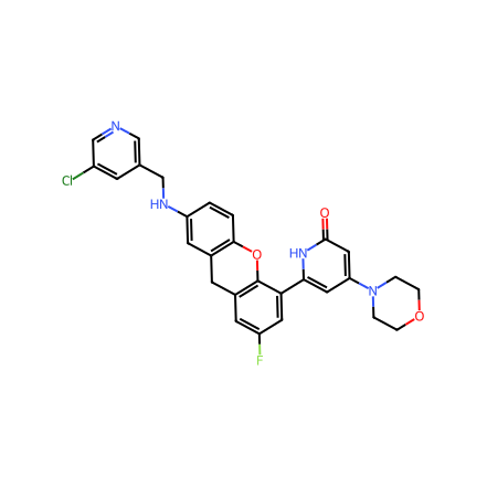 O=c1cc(N2CCOCC2)cc(-c2cc(F)cc3c2Oc2ccc(NCc4cncc(Cl)c4)cc2C3)[nH]1